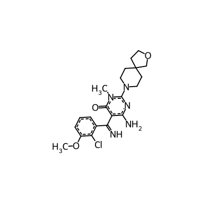 COc1cccc(C(=N)c2c(N)nc(N3CCC4(CCOC4)CC3)n(C)c2=O)c1Cl